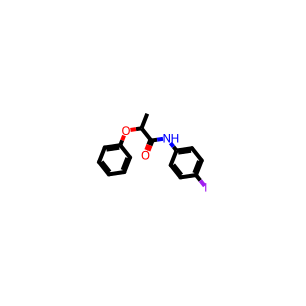 CC(Oc1ccccc1)C(=O)Nc1ccc(I)cc1